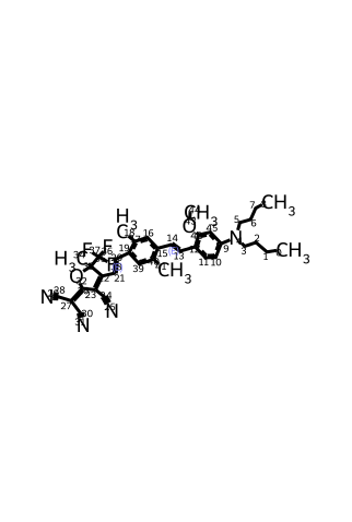 CCCCN(CCCC)c1ccc(/C=C/c2cc(C)c(/C=C/C3=C(C#N)C(=C(C#N)C#N)OC3(C)C(F)(F)F)cc2C)c(OC)c1